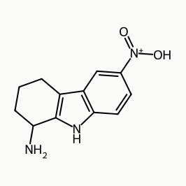 NC1CCCc2c1[nH]c1ccc([N+](=O)O)cc21